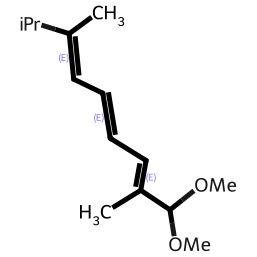 COC(OC)/C(C)=C/C=C/C=C(\C)C(C)C